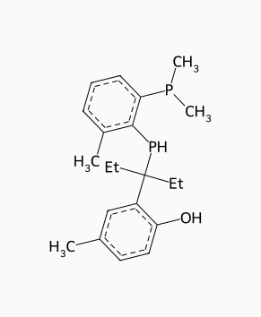 CCC(CC)(Pc1c(C)cccc1P(C)C)c1cc(C)ccc1O